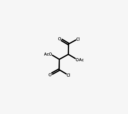 CC(=O)OC(C(=O)Cl)C(OC(C)=O)C(=O)Cl